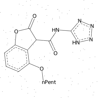 CCCCCOc1cccc2c1C(C(=O)Nc1nnn[nH]1)C(=O)O2